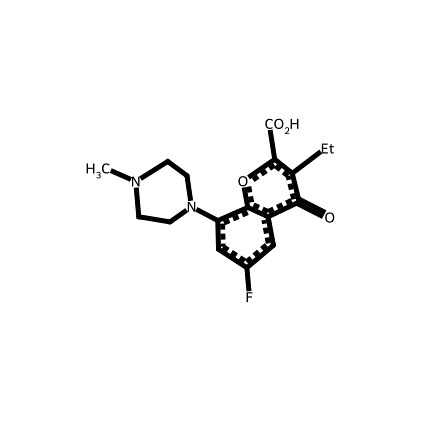 CCc1c(C(=O)O)oc2c(N3CCN(C)CC3)cc(F)cc2c1=O